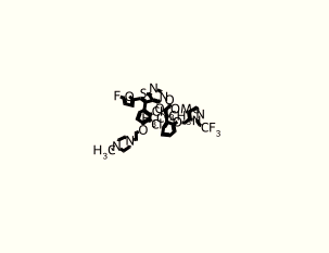 COC(=O)[C@H](Oc1ncnc2sc(-c3ccc(F)o3)c(-c3ccc(OCCN4CCN(C)CC4)c(Cl)c3C)c12)C(C)(C)c1ccccc1OCc1ccnn1CC(F)(F)F